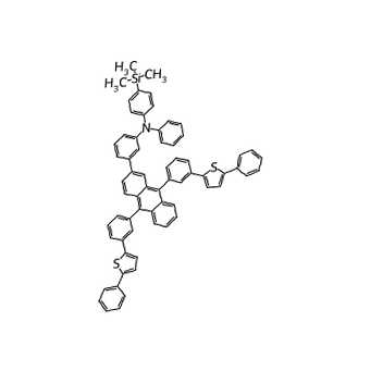 C[Si](C)(C)c1ccc(N(c2ccccc2)c2cccc(-c3ccc4c(-c5cccc(-c6ccc(-c7ccccc7)s6)c5)c5ccccc5c(-c5cccc(-c6ccc(-c7ccccc7)s6)c5)c4c3)c2)cc1